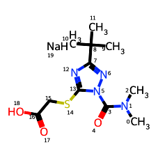 CN(C)C(=O)n1nc(C(C)(C)C)nc1SCC(=O)O.[NaH]